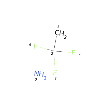 N.[CH2]C(F)(F)F